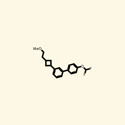 COCCC1CC(c2cccc(-c3ccc(OC(F)F)cc3)c2)C1